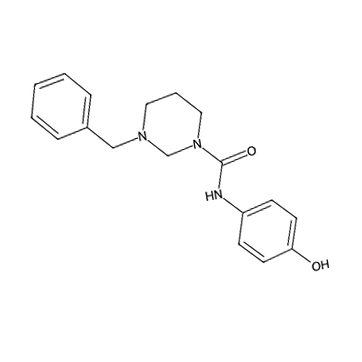 O=C(Nc1ccc(O)cc1)N1CCCN(Cc2ccccc2)C1